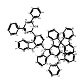 c1ccc(C2=NC(c3ccc(-n4c5ccccc5c5c4c4c(c6c7ccccc7n(-c7ccccc7)c65)C5(c6ccccc6-c6ccccc65)c5ccccc5-4)c4sc5ccccc5c34)NC(c3ccccc3)=N2)cc1